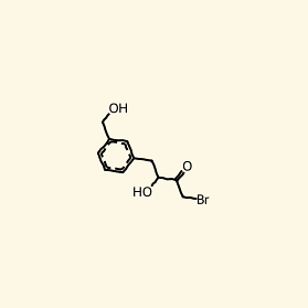 O=C(CBr)C(O)Cc1cccc(CO)c1